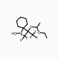 CCOC(C)OC(C(F)(F)F)(C(F)(F)F)C1(OO)CCCCC1